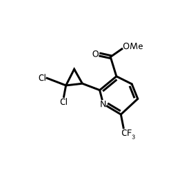 COC(=O)c1ccc(C(F)(F)F)nc1C1CC1(Cl)Cl